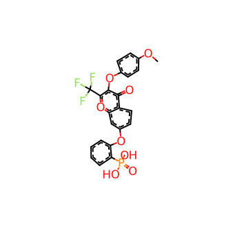 COc1ccc(Oc2c(C(F)(F)F)oc3cc(Oc4ccccc4P(=O)(O)O)ccc3c2=O)cc1